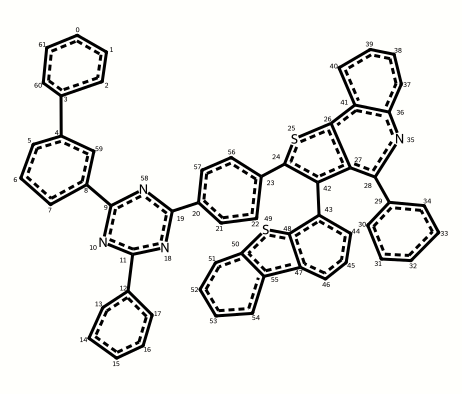 c1ccc(-c2cccc(-c3nc(-c4ccccc4)nc(-c4ccc(-c5sc6c(c(-c7ccccc7)nc7ccccc76)c5-c5cccc6c5sc5ccccc56)cc4)n3)c2)cc1